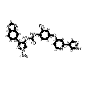 CC(C)(C)n1cc(NC(=O)Nc2ccc(Oc3ccnc(-c4cn[nH]c4)c3)cc2F)c(-c2ccc3scnc3c2)n1